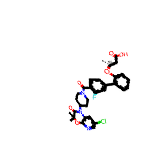 C[C@H](CC(=O)O)Oc1ccccc1-c1ccc(C(=O)N2CCC(N3C(=O)C(C)(C)Oc4ncc(Cl)cc43)CC2)c(F)c1